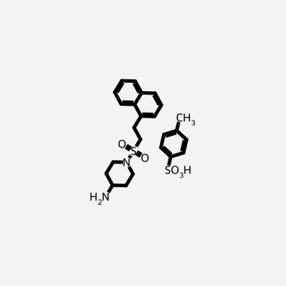 Cc1ccc(S(=O)(=O)O)cc1.NC1CCN(S(=O)(=O)CCc2cccc3ccccc23)CC1